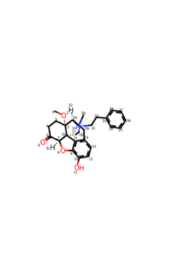 CO[C@@]12CCC(=O)[C@@H]3Oc4c(O)ccc5c4[C@@]31CC[N+](C)(CCc1ccccc1)[C@@H]2C5